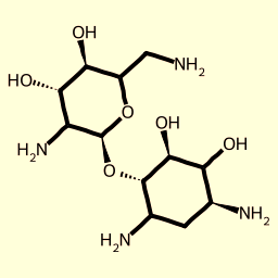 NCC1O[C@@H](O[C@H]2C(N)C[C@H](N)C(O)[C@@H]2O)C(N)[C@H](O)[C@H]1O